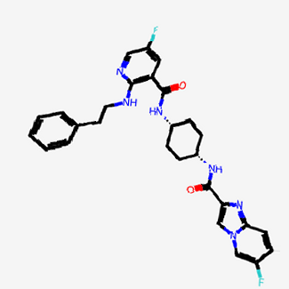 O=C(N[C@H]1CC[C@@H](NC(=O)c2cc(F)cnc2NCCc2ccccc2)CC1)c1cn2cc(F)ccc2n1